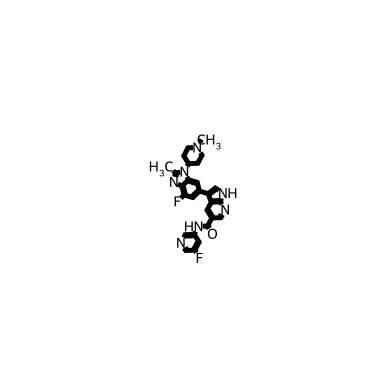 Cc1nc2c(F)cc(-c3c[nH]c4ncc(C(=O)Nc5cncc(F)c5)cc34)cc2n1C1CCN(C)CC1